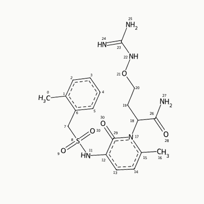 Cc1ccccc1CS(=O)(=O)Nc1ccc(C)n(C(CCONC(=N)N)C(N)=O)c1=O